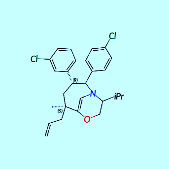 C=CC[C@@]1(C)C[C@H](c2cccc(Cl)c2)C(c2ccc(Cl)cc2)N2C=C1OCC2C(C)C